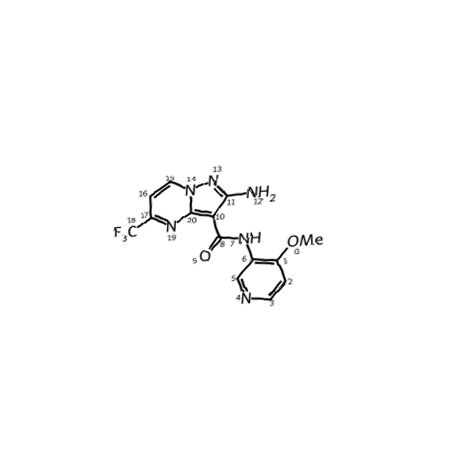 COc1ccncc1NC(=O)c1c(N)nn2ccc(C(F)(F)F)nc12